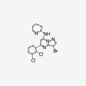 Clc1cccc(-c2cc(Nc3ccccn3)n3ncc(Br)c3n2)c1Cl